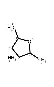 CC1CCC(C)O1.N